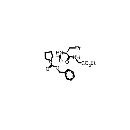 CCOC(=O)CNC(=O)[C@H](CC(C)C)NC(=O)[C@H]1CCCN1C(=O)OCc1ccccc1